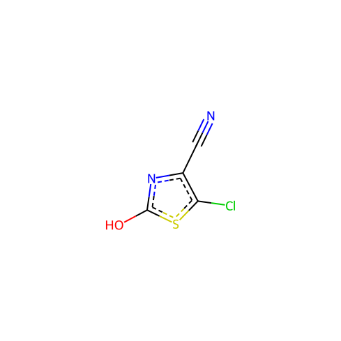 N#Cc1nc(O)sc1Cl